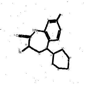 Cc1ccc2c(c1)NC(=O)C(Br)CC2C1CCCCC1